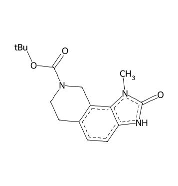 Cn1c(=O)[nH]c2ccc3c(c21)CN(C(=O)OC(C)(C)C)CC3